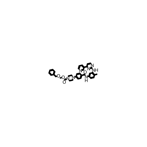 Cc1ccc(NC(=O)c2ccc(N3CCN(C(=O)OCOCc4ccccc4)CC3)cc2)cc1Nc1nccc(-c2cccnc2)n1